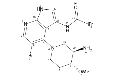 CO[C@@H]1CCN(c2c(Br)cnc3[nH]cc(NC(=O)C(C)C)c23)C[C@H]1N